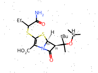 CCC(SC1=C(C(=O)O)N2C(=O)[C@H](C(C)(O[SiH](C)C)C(C)(C)C)[C@@H]2S1)C(N)=O